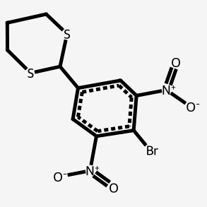 O=[N+]([O-])c1cc(C2SCCCS2)cc([N+](=O)[O-])c1Br